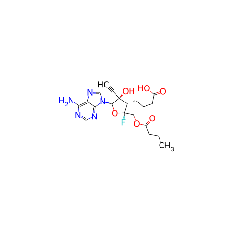 C#C[C@@]1(O)[C@H](n2cnc3c(N)ncnc32)O[C@@](F)(COC(=O)CCC)[C@H]1CCCC(=O)O